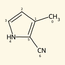 Cc1c[c][nH]c1C#N